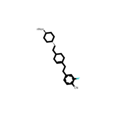 CCCCCCCCC[C@H]1CC[C@H](CCC2CC=C(CCc3ccc(C#N)c(F)c3)CC2)CC1